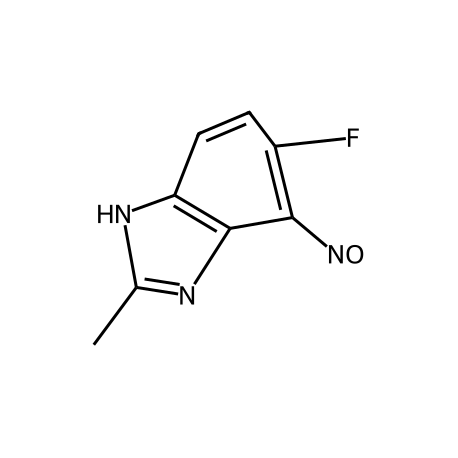 Cc1nc2c(N=O)c(F)ccc2[nH]1